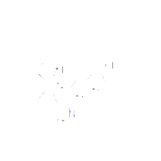 Cc1ccc2cc3c4nccc5ccc6c7cccc(CC8CCCC8)c7n(c3c(C)c2c1)c6c54